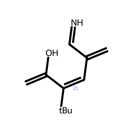 C=C(C=N)/C=C(\C(=C)O)C(C)(C)C